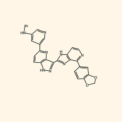 CC(C)Nc1cncc(-c2ccc3[nH]nc(-c4nc5c(-c6ccc7c(c6)OCO7)nccc5[nH]4)c3n2)c1